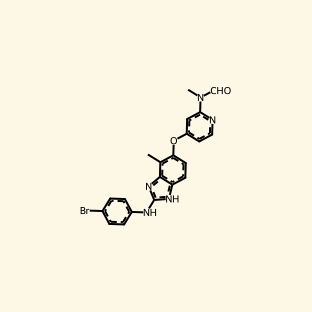 Cc1c(Oc2ccnc(N(C)C=O)c2)ccc2[nH]c(Nc3ccc(Br)cc3)nc12